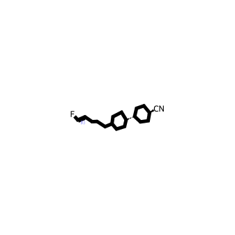 N#C[C@H]1CC[C@H](C2CCC(CCC/C=C/F)CC2)CC1